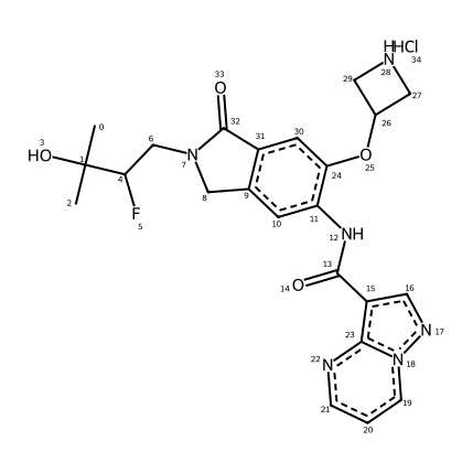 CC(C)(O)C(F)CN1Cc2cc(NC(=O)c3cnn4cccnc34)c(OC3CNC3)cc2C1=O.Cl